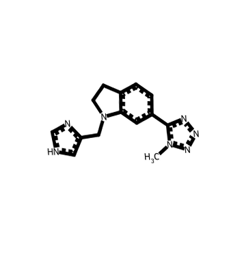 Cn1nnnc1-c1ccc2c(c1)N(Cc1c[nH]cn1)CC2